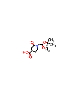 CC(C)(C)OC(=O)CN1CCC(C(=O)O)CC1=O